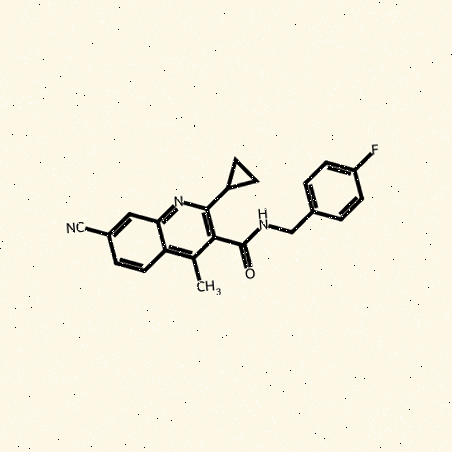 Cc1c(C(=O)NCc2ccc(F)cc2)c(C2CC2)nc2cc(C#N)ccc12